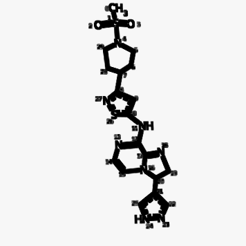 CS(=O)(=O)N1CCC(c2cc(NC3=NC=CN4C3=NCC4c3cn[nH]c3)sn2)CC1